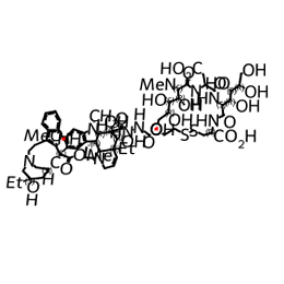 CC[C@]1(O)C[C@H]2CN(CCc3c([nH]c4ccccc34)[C@@](C(=O)OC)(c3cc4c(cc3OC)N(C)[C@H]3[C@@](O)(C(=O)NNC(=O)OCCSSC[C@H](NC(=O)[C@@H](NC(=O)C(CC(=O)O)NC(=O)[C@@H](NC)[C@@H](O)[C@H](O)[C@H](O)CO)[C@@H](O)[C@H](O)[C@H](O)CO)C(=O)O)[C@H](O)[C@]5(CC)C=CCN6CC[C@]43C65)C2)C1